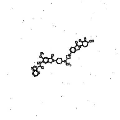 CC(C)Oc1cc2c(cc1NC(=O)c1cnn3cccnc13)CN(C1CCC(N(C)C3CN(c4ccc5c(c4)CN(C4CCC(O)NC4=O)C5=O)C3)CC1)C2=O